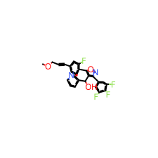 COCC#Cc1ccc(-c2onc(-c3cc(F)c(F)c(F)c3)c2C(O)c2cccnc2)c(F)c1